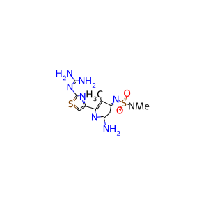 CNS(=O)(=O)N=C1CC(N)=NC(c2csc(N=C(N)N)n2)=C1C